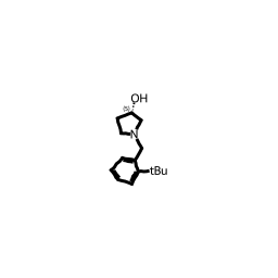 CC(C)(C)c1ccccc1CN1CC[C@H](O)C1